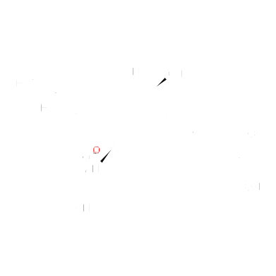 C[C@H]1[C@H](SCC(=O)O)O[C@@H]2O[C@]3(C)CC[C@H]4[C@H](C)CC[C@@H]1[C@@]24OO3